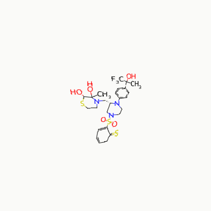 CC1(O)C(O)SCCN1C[C@H]1CN(S(=O)(=O)C2=CC=CCC2=S)CCN1c1ccc(C(C)(O)C(F)(F)F)cc1